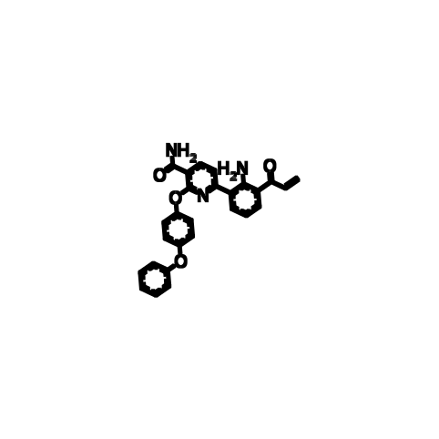 C=CC(=O)c1cccc(-c2ccc(C(N)=O)c(Oc3ccc(Oc4ccccc4)cc3)n2)c1N